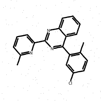 Cc1cccc(-c2nc(-c3cc(Cl)ccc3C)c3ccccc3n2)n1